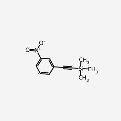 C[Si](C)(C)C#Cc1c[c]cc([N+](=O)[O-])c1